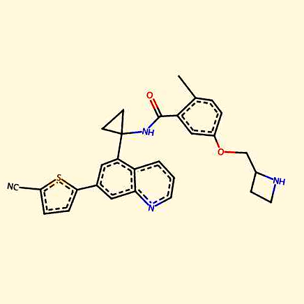 Cc1ccc(OCC2CCN2)cc1C(=O)NC1(c2cc(-c3ccc(C#N)s3)cc3ncccc23)CC1